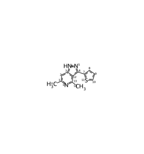 Cc1cc2[nH]nc(-c3cccs3)c2c(C)n1